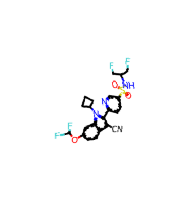 N#Cc1c(-c2ccc(S(=O)(=O)NC(CF)CF)cn2)n(C2CCC2)c2cc(OC(F)F)ccc12